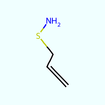 C=CCSN